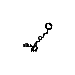 CCCCc1nccn1CCOCCCc1ccccc1